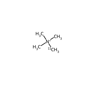 C[N+](C)(C)[11CH3]